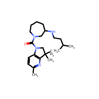 Cc1ccc2c(n1)C(C)(C)CN2C(=O)N1CCCCC(NCCC(C)C)C1